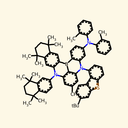 Cc1cc2c3c(c1)N(c1cccc4sc5cc(C(C)(C)C)ccc5c14)c1cc(N(c4ccccc4C)c4ccccc4C)ccc1B3c1cc3c(cc1N2c1ccc2c(c1)C(C)(C)CCC2(C)C)C(C)(C)CCC3(C)C